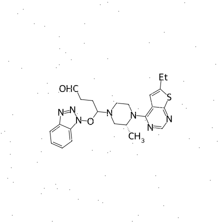 CCc1cc2c(N3CCN(C(CCC=O)On4nnc5ccccc54)C[C@H]3C)ncnc2s1